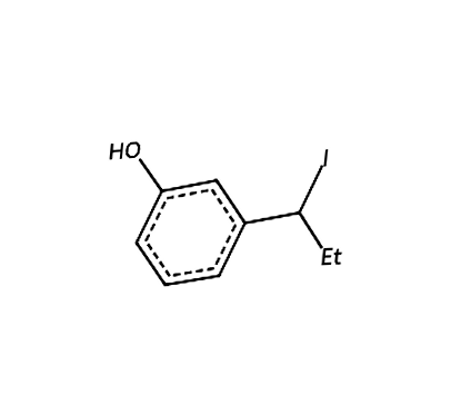 CCC(I)c1cccc(O)c1